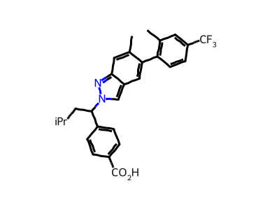 Cc1cc(C(F)(F)F)ccc1-c1cc2cn(C(CC(C)C)c3ccc(C(=O)O)cc3)nc2cc1C